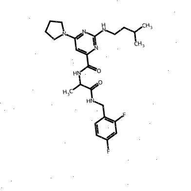 CC(C)CCNc1nc(C(=O)NC(C)C(=O)NCc2ccc(F)cc2F)cc(N2CCCC2)n1